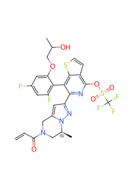 C=CC(=O)N1Cc2cc(-c3nc(OS(=O)(=O)C(F)(F)F)c4ccsc4c3-c3c(F)cc(F)cc3OCC(C)O)nn2[C@@H](C)C1